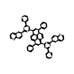 c1ccc(-c2cc(-c3nc(-c4cccnc4)nc(-c4ccc5ncccc5c4)n3)c3ccc4c(-c5ccccc5)cc(-c5nc(-c6cccnc6)nc(-c6ccc7ncccc7c6)n5)c5ccc2c3c45)cc1